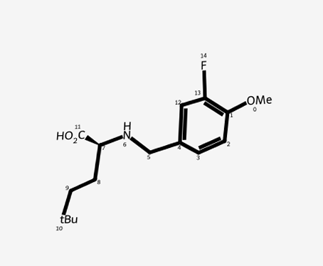 COc1ccc(CN[C@@H](CCC(C)(C)C)C(=O)O)cc1F